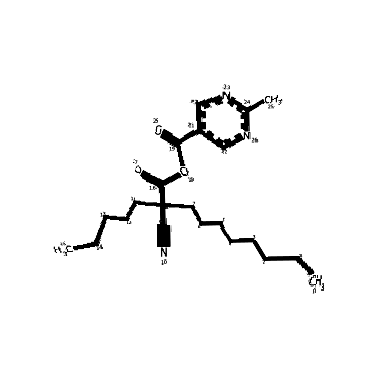 CCCCCCCCC(C#N)(CCCCC)C(=O)OC(=O)c1cnc(C)nc1